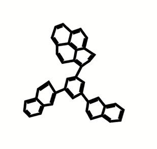 c1ccc2cc(-c3cc(-c4ccc5ccccc5c4)cc(-c4ccc5ccc6cccc7ccc4c5c67)c3)ccc2c1